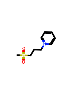 CS(=O)(=O)CCC[n+]1ccccc1